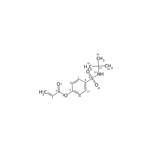 C=CC(=O)Oc1ccc(S(=O)(=O)NC(C)(C)C)cc1